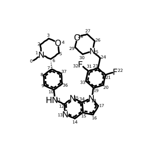 CN1CCOC[C@@H]1c1ccc(Nc2ncc3ccn(-c4cc(F)c(CN5CCOCC5)c(F)c4)c3n2)cc1